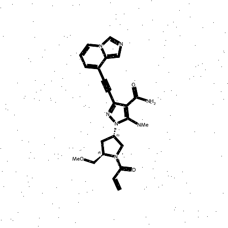 C=CC(=O)N1C[C@@H](n2nc(C#Cc3cccn4cncc34)c(C(N)=O)c2NC)C[C@@H]1COC